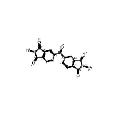 CC(C)N1C(=O)c2ccc(C(=O)c3ccc4c(c3)C(=O)N(C(C)C)C4=O)cc2C1=O